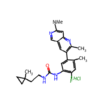 CNc1cc2nc(C)c(-c3cc(NC(=O)NCCC4(C)CC4)c(F)cc3C)cc2cn1.Cl